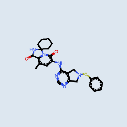 Cc1cc(Nc2ncnc3c2CN(Sc2ccccc2)C3)c(=O)n2c1C(=O)NC21CCCCC1